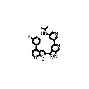 CC(C)Nc1cncc(-c2cc3c(-c4cc5c(-c6cccc(F)c6)ccnc5[nH]4)n[nH]c3cn2)c1